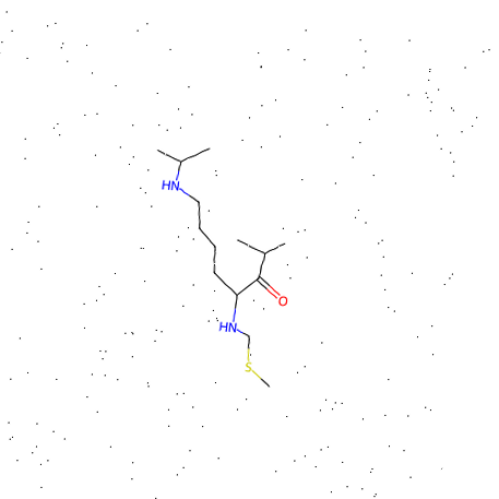 CSCNC(CCCCNC(C)C)C(=O)C(C)C